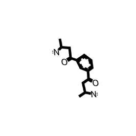 CC([N])CC(=O)c1cccc(C(=O)CC(C)[N])c1